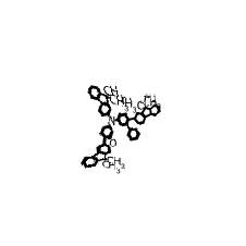 CC1(C)c2ccccc2-c2ccc(-c3ccc(N(c4ccc5c(c4)C(C)(C)c4ccccc4-5)c4ccc5c(c4)oc4cc6c(cc45)-c4ccccc4C6(C)C)cc3-c3ccccc3)cc21